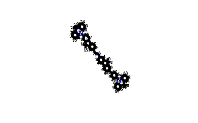 CC1(C)c2cc(/C=C/c3ccc4c(c3)C(C)(C)C3C=C(N5c6ccccc6C(C)(C)c6ccccc65)C=CC43)ccc2-c2ccc(-c3ccc(N4c5ccccc5C(C)(C)c5ccccc54)cc3)cc21